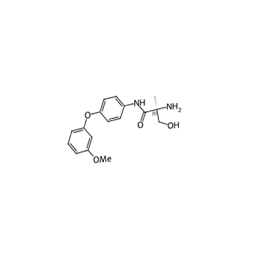 COc1cccc(Oc2ccc(NC(=O)[C@@](C)(N)CO)cc2)c1